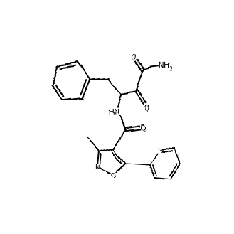 Cc1noc(-c2ccccn2)c1C(=O)NC(Cc1ccccc1)C(=O)C(N)=O